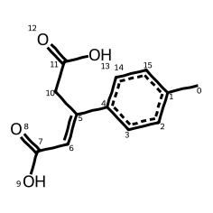 Cc1ccc(C(=CC(=O)O)CC(=O)O)cc1